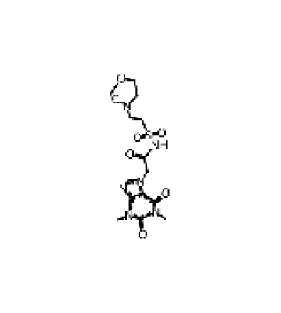 Cn1c(=O)c2c(ncn2CC(=O)NS(=O)(=O)CCN2CCOCC2)n(C)c1=O